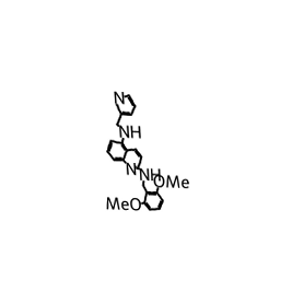 COc1cccc(OC)c1CNc1ccc2c(NCc3cccnc3)cccc2n1